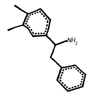 Cc1ccc(C(N)Cc2ccccc2)cc1C